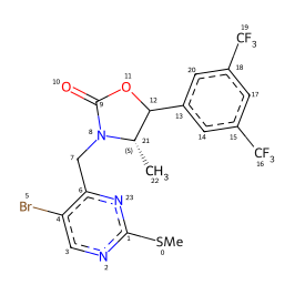 CSc1ncc(Br)c(CN2C(=O)OC(c3cc(C(F)(F)F)cc(C(F)(F)F)c3)[C@@H]2C)n1